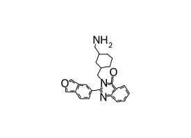 NCC1CCCC(Cn2c(-c3ccc4cocc4c3)nc3ccccc3c2=O)C1